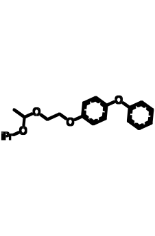 CC(C)OC(C)OCCOc1ccc(Oc2ccccc2)cc1